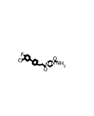 NC(=O)N1CCN(C(=O)[CH]Cc2ccc(-c3ccc(F)c(Cl)c3)cc2)CC1